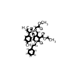 C=CC(c1ccc(C)cc1)S(=O)(=O)N(CC(=O)OC)Cc1ccn(CCc2ccccc2)c(=O)c1C(=O)OCC